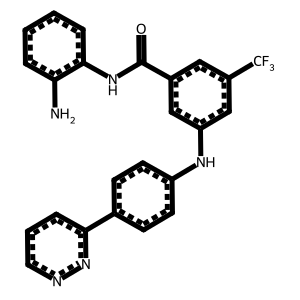 Nc1ccccc1NC(=O)c1cc(Nc2ccc(-c3cccnn3)cc2)cc(C(F)(F)F)c1